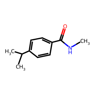 CNC(=O)c1ccc(C(C)C)cc1